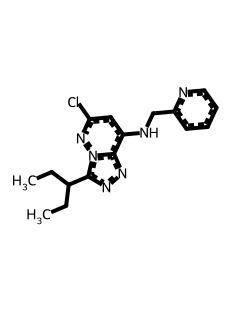 CCC(CC)c1nnc2c(NCc3ccccn3)cc(Cl)nn12